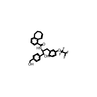 O=C(NC(Cc1cccc(OC(F)(F)C(F)F)c1)C(O)c1ccc(CO)cc1)c1cccc2c1C=CCCC2